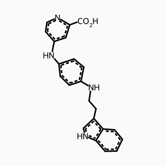 O=C(O)c1cc(Nc2ccc(NCCc3c[nH]c4ccccc34)cc2)ccn1